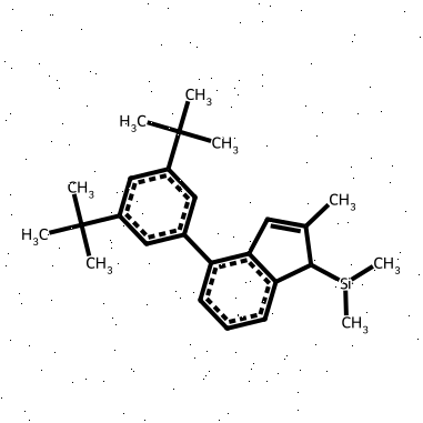 CC1=Cc2c(-c3cc(C(C)(C)C)cc(C(C)(C)C)c3)cccc2C1[Si](C)C